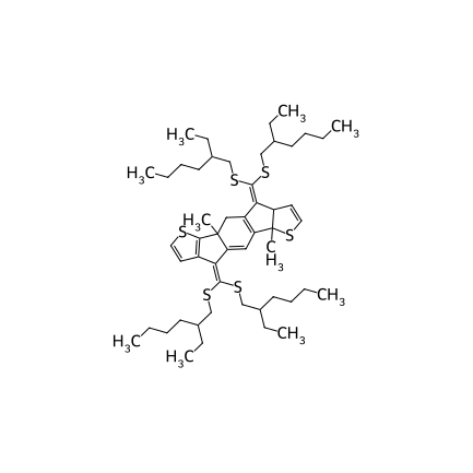 CCCCC(CC)CSC(SCC(CC)CCCC)=C1C2=CC3=C(CC2(C)c2sccc21)C(=C(SCC(CC)CCCC)SCC(CC)CCCC)C1C=CSC31C